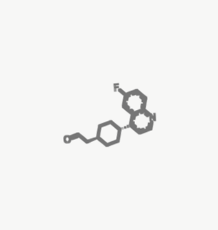 O=CC[C@H]1CC[C@H](c2ccnc3ccc(F)cc32)CC1